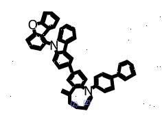 C=C1/C=C\C=C/N(c2ccc(-c3ccccc3)cc2)c2ccc(-c3ccc4c(c3)c3ccccc3n4-c3cccc4oc5ccccc5c34)cc21